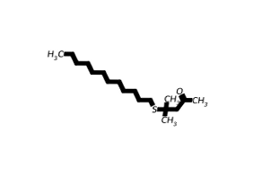 CCCCCCCCCCCCSC(C)(C)CC(C)=O